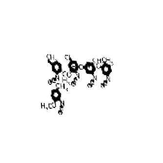 CCc1cccc(N=C=O)c1.COc1cc(Cl)ccc1N=C=O.COc1ccc(C)cc1N=C=O.Cc1cc(C)cc(N=C=O)c1.Cc1ccc(N=C=O)cc1C